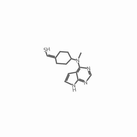 CN(c1ncnc2[nH]ccc12)C1CCC(=CS)CC1